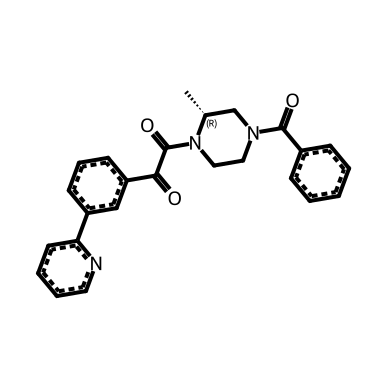 C[C@@H]1CN(C(=O)c2ccccc2)CCN1C(=O)C(=O)c1cccc(-c2ccccn2)c1